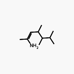 C/C(N)=C/C(C)C(C)C(C)C